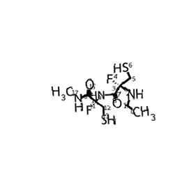 CCN[C@](F)(CS)C(=O)N[C@@](F)(CS)C(=O)NC